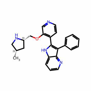 C[C@@H]1CN[C@H](COc2cnccc2-c2[nH]c3cccnc3c2-c2ccccc2)C1